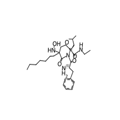 CCCCCCCC1(NO)CC(=O)[C@](CC(C)C)(C(=O)NCC)N(C(=O)[C@@H](N)Cc2ccccc2)C1=O